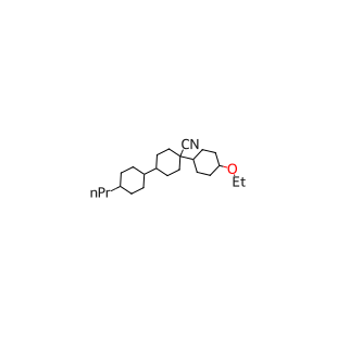 CCCC1CCC(C2CCC(C#N)(C3CCC(OCC)CC3)CC2)CC1